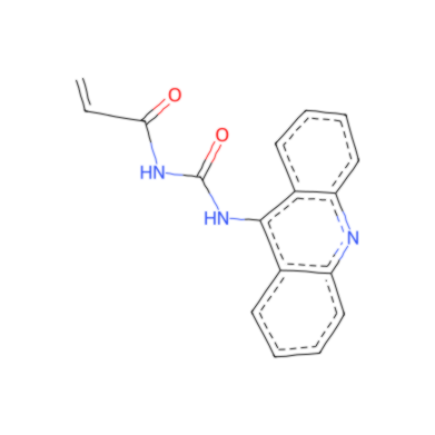 C=CC(=O)NC(=O)Nc1c2ccccc2nc2ccccc12